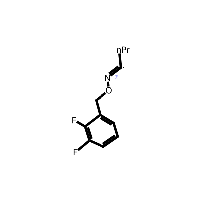 CCC/[C]=N/OCc1cccc(F)c1F